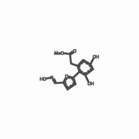 COC(=O)Cc1cc(O)cc(O)c1-c1ccc(C=NO)o1